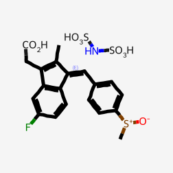 CC1=C(CC(=O)O)c2cc(F)ccc2/C1=C\c1ccc([S+](C)[O-])cc1.O=S(=O)(O)NS(=O)(=O)O